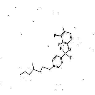 CCCC(I)CCCc1ccc(C(F)(F)Oc2ccc(C)c(F)c2F)cc1